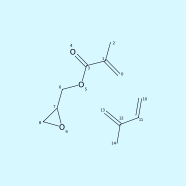 C=C(C)C(=O)OCC1CO1.C=CC(=C)C